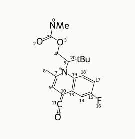 CNC(=O)OCC(N1C(C)=CC(=C=O)c2cc(F)ccc21)C(C)(C)C